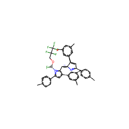 Cc1ccc(C2=N/C(=C\c3c(-c4cc(C)cc(C)c4)cc(-c4ccc(C)cc4)n3B(F)OCC(F)(F)C(F)(F)F)C(c3cc(C)cc(C)c3)=C2)cc1